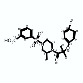 CC1CN(S(=O)(=O)c2cccc(C(=O)O)c2)CCN1C(=O)C(C)(C)Oc1ccc(F)cc1